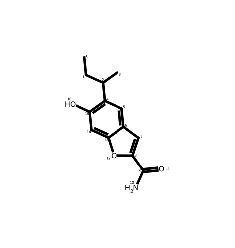 CCC(C)c1cc2cc(C(N)=O)oc2cc1O